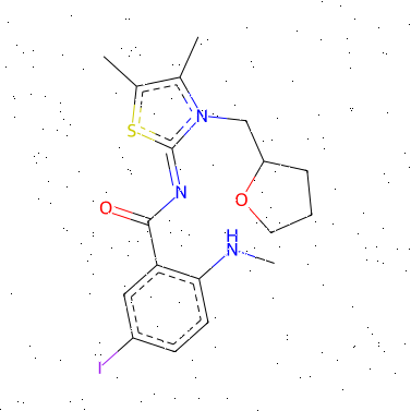 CNc1ccc(I)cc1C(=O)N=c1sc(C)c(C)n1CC1CCCO1